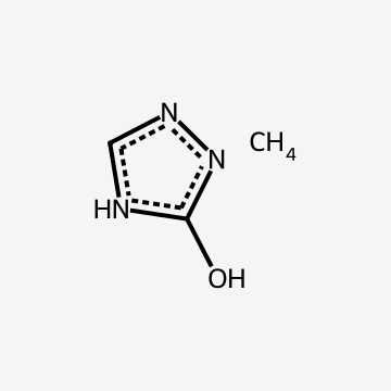 C.Oc1nnc[nH]1